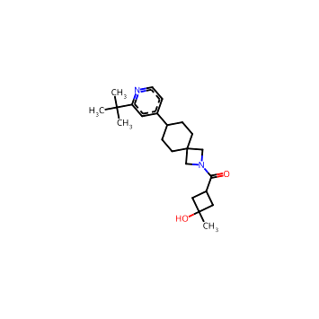 CC1(O)CC(C(=O)N2CC3(CCC(c4ccnc(C(C)(C)C)c4)CC3)C2)C1